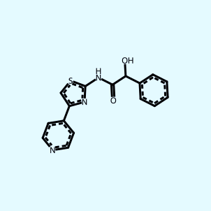 O=C(Nc1nc(-c2ccncc2)cs1)C(O)c1ccccc1